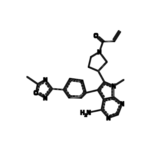 C=CC(=O)N1CCC(c2c(-c3ccc(-c4noc(C)n4)cc3)c3c(N)ncnc3n2C)C1